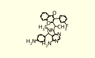 CC(c1oc2ccccc2c(=O)c1-c1cccc(F)c1)N1c2ncnc(N)c2C(c2ccc(N)cc2)N1C